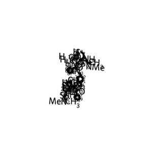 CN[C@@H](C)C(=S)N[C@H]1CCS[C@H]2CC(C)(C)[C@@H](C(=O)N[C@H](C(=O)NCc3ccc(CNC(=O)[C@@H](NC(=O)[C@H]4N5C(=O)[C@@H](NC(=S)[C@H](C)NC)CCS[C@H]5CC4(C)C)c4ccccc4)cc3)c3ccccc3)N2C1=O